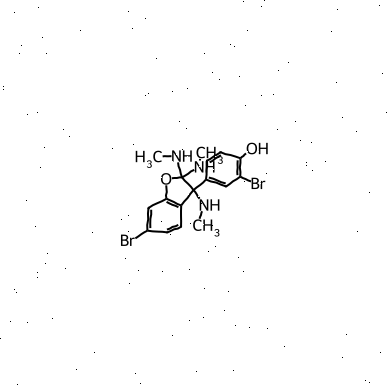 CNC1(NC)Oc2cc(Br)ccc2C1(NC)c1ccc(O)c(Br)c1